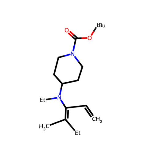 C=C/C(=C(/C)CC)N(CC)C1CCN(C(=O)OC(C)(C)C)CC1